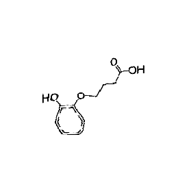 O=C(O)CCCOc1ccccc1O